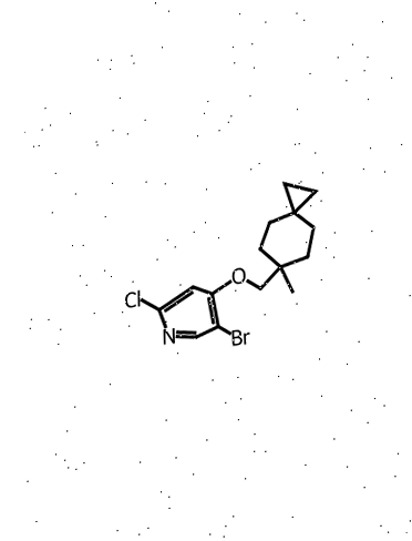 CC1(COc2cc(Cl)ncc2Br)CCC2(CC1)CC2